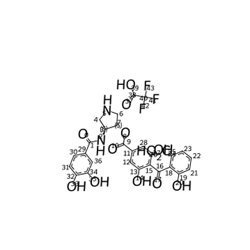 O=C(N[C@H]1CNC[C@@H]1OC(=O)c1cc(O)c(C(=O)c2c(O)cccc2C(=O)O)c(O)c1)c1ccc(O)c(O)c1.O=C(O)C(F)(F)F